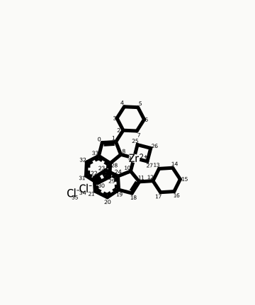 C1=C(C2CCCCC2)[CH]([Zr+2]2([CH]3C(C4CCCCC4)=Cc4ccccc43)[CH2]C[CH2]2)c2ccccc21.[Cl-].[Cl-]